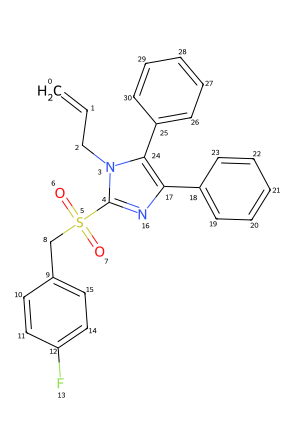 C=CCn1c(S(=O)(=O)Cc2ccc(F)cc2)nc(-c2ccccc2)c1-c1ccccc1